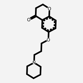 O=C1CCOc2ccc(OCCCN3CCCCC3)cc21